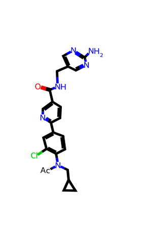 CC(=O)N(CC1CC1)c1ccc(-c2ccc(C(=O)NCc3cnc(N)nc3)cn2)cc1Cl